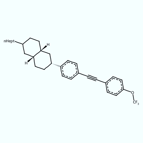 CCCCCCCC1CC[C@@H]2C[C@H](c3ccc(C#Cc4ccc(OC(F)(F)F)cc4)cc3)CC[C@@H]2C1